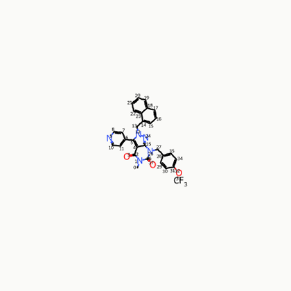 Cn1c(=O)c2c(-c3ccncc3)n(Cc3cccc4ccccc34)nc2n(Cc2ccc(OC(F)(F)F)cc2)c1=O